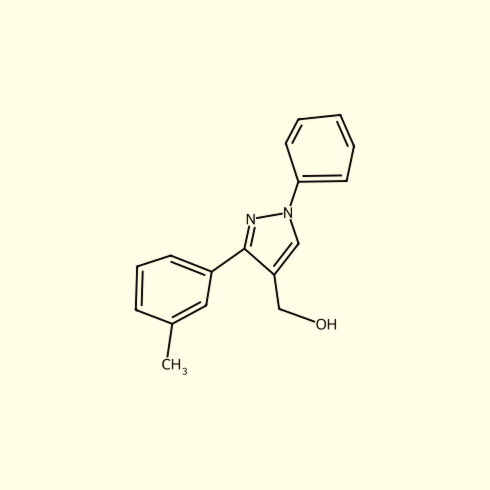 Cc1cccc(-c2nn(-c3ccccc3)cc2CO)c1